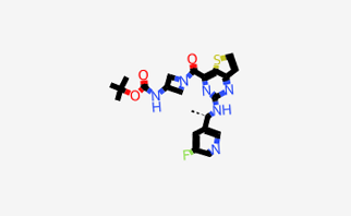 C[C@H](Nc1nc(C(=O)N2CC(NC(=O)OC(C)(C)C)C2)c2sccc2n1)c1cncc(F)c1